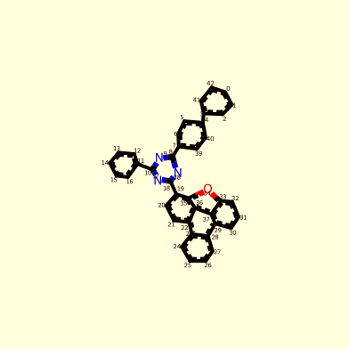 c1ccc(-c2ccc(-c3nc(-c4ccccc4)nc(-c4ccc5c6ccccc6c6cccc7oc4c5c76)n3)cc2)cc1